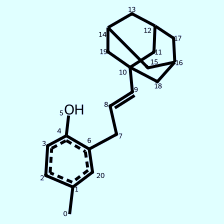 Cc1ccc(O)c(CC=CC23CC4CC(CC(C4)C2)C3)c1